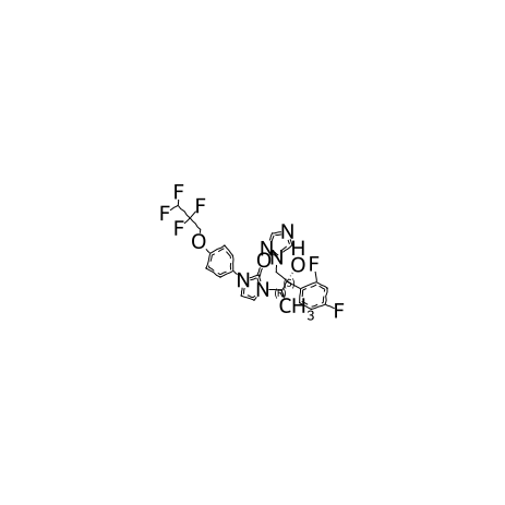 C[C@@H](n1ccn(-c2ccc(OCC(F)(F)C(F)F)cc2)c1=O)[C@@](O)(Cn1cncn1)c1ccc(F)cc1F